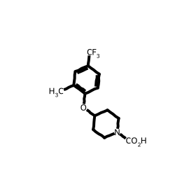 Cc1cc(C(F)(F)F)ccc1OC1CCN(C(=O)O)CC1